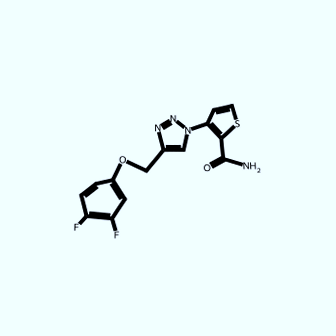 NC(=O)c1sccc1-n1cc(COc2ccc(F)c(F)c2)nn1